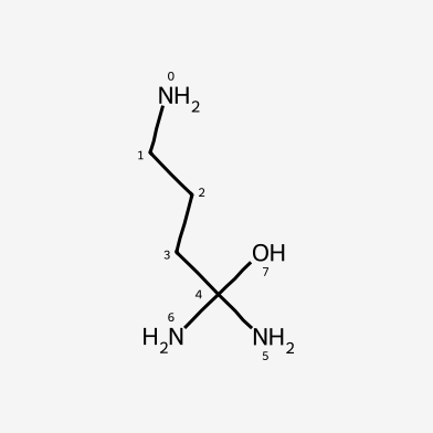 NCCCC(N)(N)O